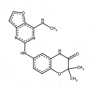 CNc1nc(Nc2ccc3c(c2)NC(=O)C(C)(C)O3)nc2ccoc12